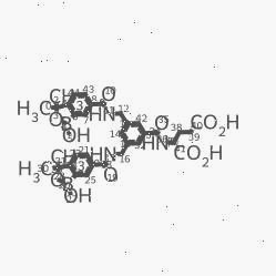 CC1(C)OB(O)c2cc(C(=O)NCc3cc(CNC(=O)c4ccc5c(c4)B(O)OC5(C)C)cc(C(=O)N[C@@H](CCC(=O)O)C(=O)O)c3)ccc21